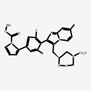 Cc1ccn2c(C[C@H]3CN(C(=O)O)CCO3)c(-c3c(F)cc(-c4cccn4C(=O)OC(C)(C)C)cc3F)nc2c1